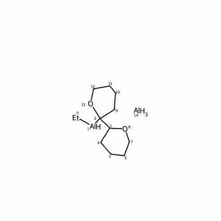 C[CH2][AlH][C]1(C2CCCCO2)CCCCO1.[AlH3]